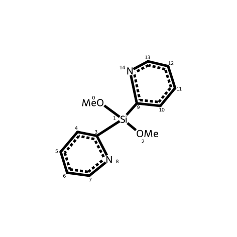 CO[Si](OC)(c1ccccn1)c1ccccn1